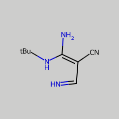 CC(C)(C)N/C(N)=C(/C#N)C=N